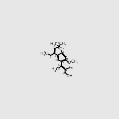 CCC1=CC(C)(C)Oc2cc(OC)c(C(C)=C(F)CO)cc21